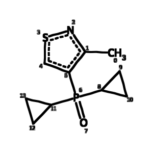 Cc1nscc1P(=O)(C1CC1)C1CC1